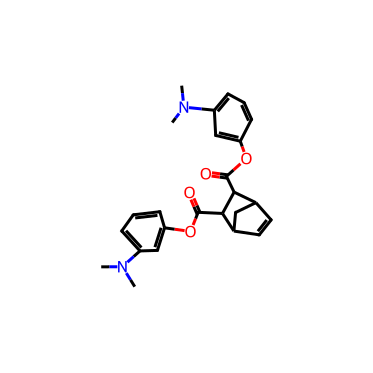 CN(C)c1cccc(OC(=O)C2C3C=CC(C3)C2C(=O)Oc2cccc(N(C)C)c2)c1